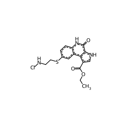 CCOC(=O)c1c[nH]c2c(=O)[nH]c3ccc(SCCNCl)cc3c12